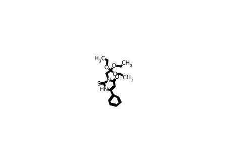 CCOC(Cn1c(=O)cc(-c2ccccc2)[nH]c1=S)(OCC)OCC